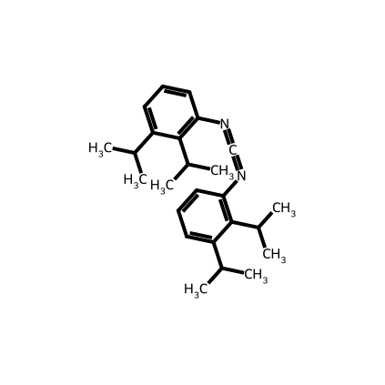 CC(C)c1cccc(N=C=Nc2cccc(C(C)C)c2C(C)C)c1C(C)C